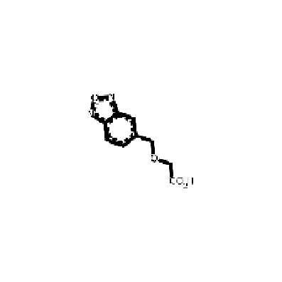 O=C(O)COCc1ccc2nonc2c1